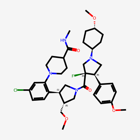 CNC(=O)C1CCN(c2cc(Cl)ccc2[C@H]2CN(C(=O)[C@]3(F)CN([C@H]4CC[C@H](OC)CC4)C[C@H]3c3ccc(OC)cc3)C[C@@H]2COC)CC1